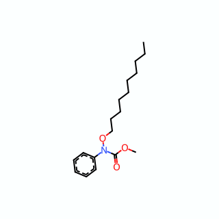 CCCCCCCCCCON(C(=O)OC)c1ccccc1